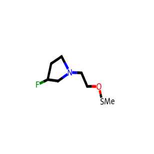 CSOCCN1CCC(F)C1